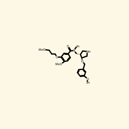 COCCCOc1cc(C(=O)N(C[C@@H]2CNC[C@H]2OCc2cccc(OC(C)C)c2)C(C)C)ccc1OC